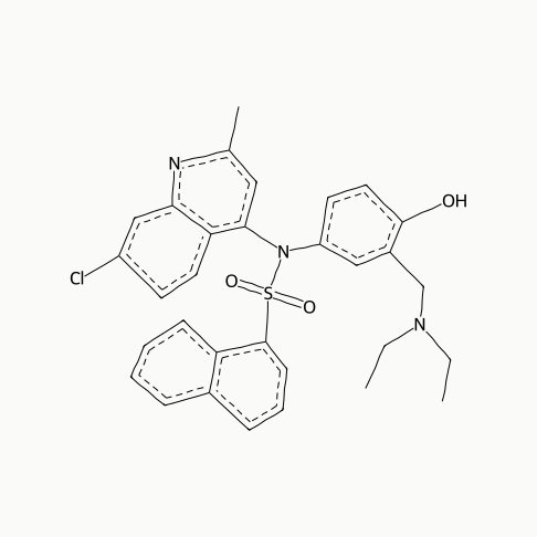 CCN(CC)Cc1cc(N(c2cc(C)nc3cc(Cl)ccc23)S(=O)(=O)c2cccc3ccccc23)ccc1O